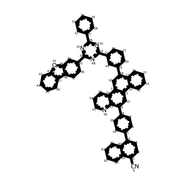 N#Cc1ccc(-c2ccc(-c3cc4c5ccccc5c(-c5cccc(-c6nc(-c7ccccc7)nc(-c7ccc8c(c7)oc7ccccc78)n6)c5)cc4c4cccnc34)cc2)c2ccccc12